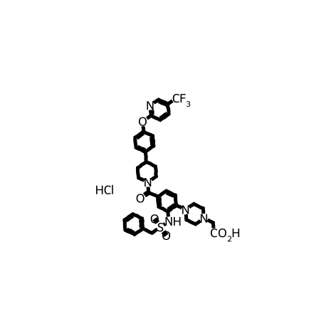 Cl.O=C(O)CN1CCN(c2ccc(C(=O)N3CCC(c4ccc(Oc5ccc(C(F)(F)F)cn5)cc4)CC3)cc2NS(=O)(=O)Cc2ccccc2)CC1